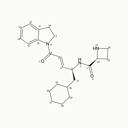 O=C(N[C@H](/C=C/C(=O)N1CCc2ccccc21)CC1CCCCC1)[C@@H]1CCN1